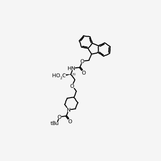 CC(C)(C)OC(=O)N1CCC(COC[C@H](NC(=O)OCC2c3ccccc3-c3ccccc32)C(=O)O)CC1